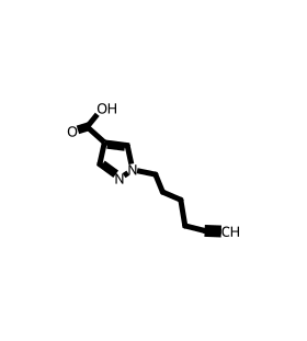 C#CCCCCn1cc(C(=O)O)cn1